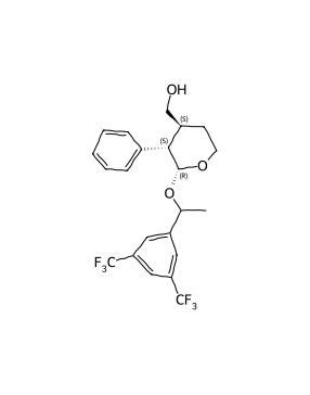 CC(O[C@H]1OCC[C@H](CO)[C@H]1c1ccccc1)c1cc(C(F)(F)F)cc(C(F)(F)F)c1